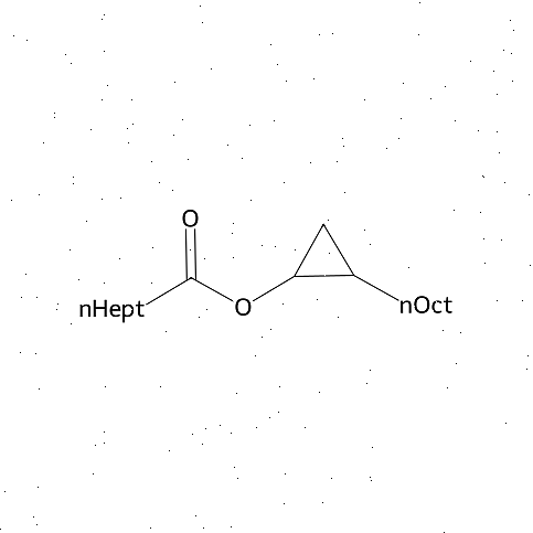 CCCCCCCCC1CC1OC(=O)CCCCCCC